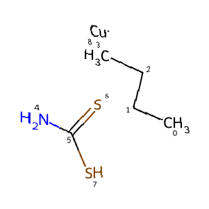 CCCC.NC(=S)S.[Cu]